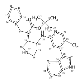 CC(C)(C)OC(=O)N(Cc1ccccc1)[C@@H]1CNCCC1Nc1ncc(Cl)c(-c2c[nH]c3ccccc23)n1